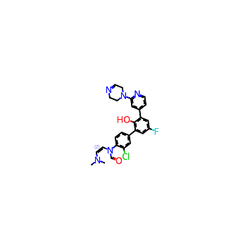 CN(C)/C=C\N(C=O)c1ccc(-c2cc(F)cc(-c3ccnc(N4CC=NCC4)c3)c2O)cc1Cl